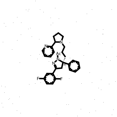 CC(=O)N1N=C(c2cc(F)ccc2F)C[C@]1(CCCN1CCCC1c1ccccn1)c1ccccc1